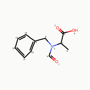 CC(C(=O)O)N(C=O)Cc1ccccc1